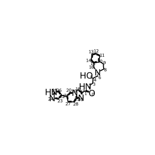 O=C(NC[C@H](O)CN1CCc2ccccc2C1)c1cn2cc(-c3cn[nH]c3)ccc2n1